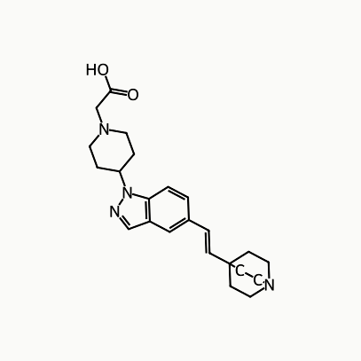 O=C(O)CN1CCC(n2ncc3cc(C=CC45CCN(CC4)CC5)ccc32)CC1